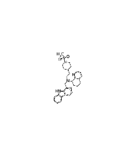 CS(=O)(=O)N1CCC(CCN(Cc2nccc3c2[nH]c2ccccc23)C2CCCc3cccnc32)CC1